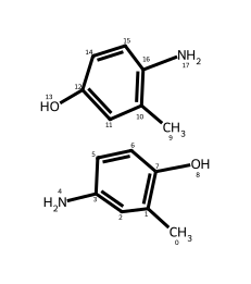 Cc1cc(N)ccc1O.Cc1cc(O)ccc1N